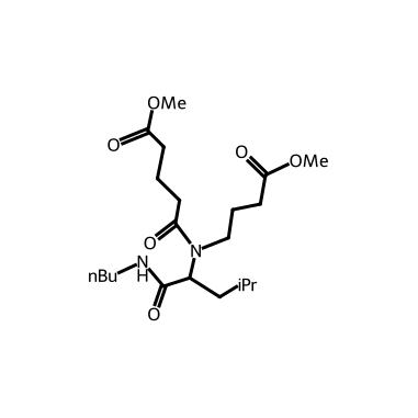 CCCCNC(=O)C(CC(C)C)N(CCCC(=O)OC)C(=O)CCCC(=O)OC